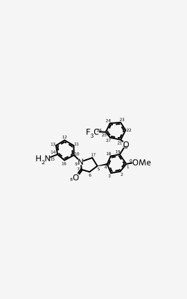 COc1ccc([C@H]2CC(=O)N(c3cccc(N)c3)C2)cc1Oc1cccc(C(F)(F)F)c1